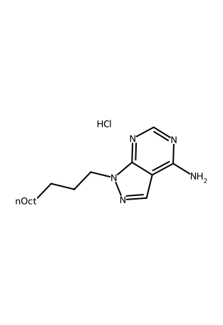 CCCCCCCCCCCn1ncc2c(N)ncnc21.Cl